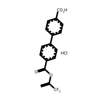 C=C(OC(=O)c1ccc(-c2ccc(C(=O)O)cc2)cc1)C(F)(F)F.Cl